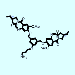 C/C=C1\C[C@H]2C=Nc3cc(OCc4cc(COc5cc6c(cc5OC)C(=O)N5C/C(=C/C)C[C@H]5C=N6)cc(OCCCN)c4)c(OC)cc3C(=O)N2C1